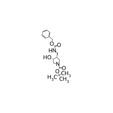 CC(C)(C)OC(=O)N1C[C@H](CNC(=O)OCc2ccccc2)[C@@H](O)C1